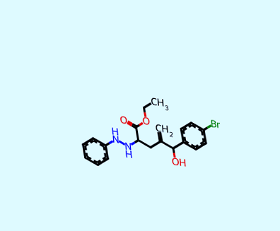 C=C(CC(NNc1ccccc1)C(=O)OCC)C(O)c1ccc(Br)cc1